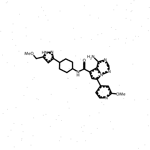 COCc1cc(C2CCC(NC(=O)c3cc(-c4ccnc(OC)c4)n4ncnc(N)c34)CC2)n[nH]1